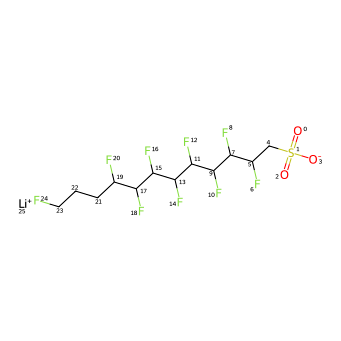 O=S(=O)([O-])CC(F)C(F)C(F)C(F)C(F)C(F)C(F)C(F)CCCF.[Li+]